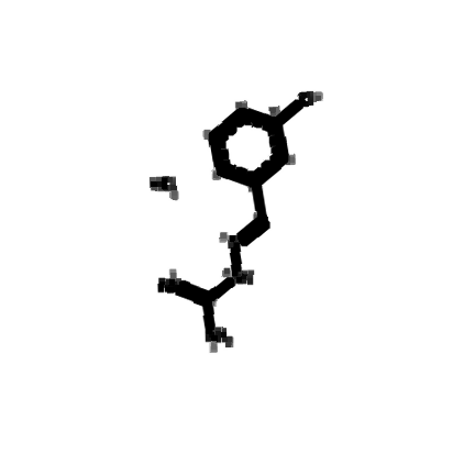 Cl.N=C(N)N/N=C/c1cccc(Cl)c1